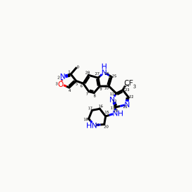 Cc1nocc1-c1ccc2c(-c3nc(NC4CCCNC4)ncc3C(F)(F)F)c[nH]c2c1